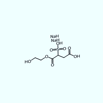 O=C(O)CC(C(=O)OCCO)S(=O)(=O)O.[NaH].[NaH]